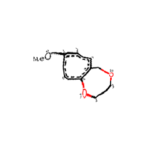 [CH2]Oc1ccc2c(c1)OCCO2